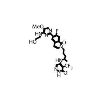 COc1cnc(-c2cc3ccn(CCCC(C)Nc4cn[nH]c(=O)c4C(F)(F)F)c(=O)c3cc2F)nc1NCCO